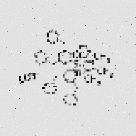 CC1=C(C)[C]([Ti+3])([Si](c2ccccc2)(c2cc(Cc3ccccc3)cc(Cc3ccccc3)c2)c2cc(Cc3ccccc3)cc(Cc3ccccc3)c2)C(C)=C1C.[Cl-].[Cl-].[Cl-]